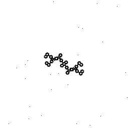 c1ccc(N(c2ccc(-c3c4ccccc4c(-c4ccc(N(c5ccccc5)c5ccc(-n6c7ccc(-c8cccc9ccccc89)cc7c7cc(-c8cccc9ccccc89)ccc76)cc5)cc4)c4ccccc34)cc2)c2ccc(-n3c4ccc(-c5cccc6ccccc56)cc4c4cc(-c5cccc6ccccc56)ccc43)cc2)cc1